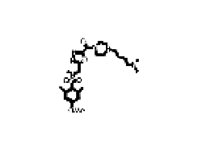 COc1cc(C)c(S(=O)(=O)N(C)Cc2nnc(C(=O)N3CCN(CCCCN(C)C)CC3)o2)c(C)c1